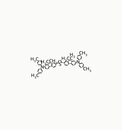 Cc1ccc(N(c2ccc(C)cc2)c2ccc3c(c2)C(C)(C)c2cc(-c4ccc(-c5ccc6c(c5)C(C)(C)c5cc(N(c7ccc(C)cc7)c7ccc(C)cc7)ccc5-6)s4)ccc2-3)cc1